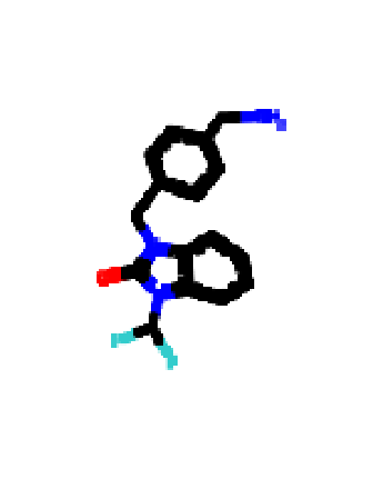 NCc1ccc(Cn2c(=O)n(C(F)F)c3ccccc32)cc1